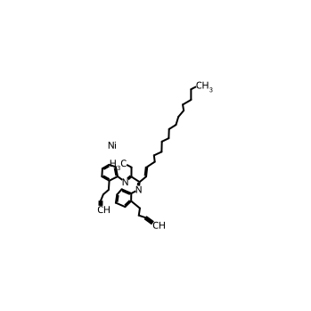 C#CCCc1ccccc1N=C(C=CCCCCCCCCCCCCC)C(CC)=Nc1ccccc1CCC#C.[Ni]